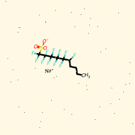 CCCCC(F)C(F)(F)C(F)(F)C(F)(F)C(F)(F)C(F)(F)S(=O)(=O)[O-].[Na+]